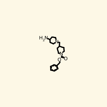 NC1CCN(CC2CCN(C(=O)OCc3ccccc3)CC2)CC1